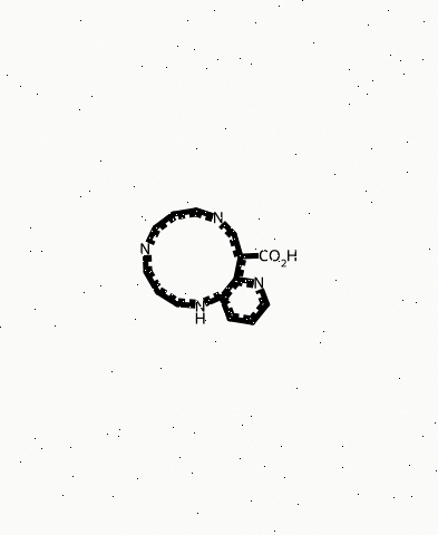 O=C(O)c1cncccnccc[nH]c2cccnc12